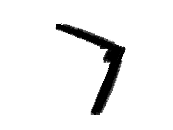 O=BO.O=BO.O=BO.O=BO.O=BO.O=BO.O=BO.[Na+].[Na+].[Na+].[Na+].[Na+].[Na+].[Na+].[Na+].[Na+].[Na+].[Na+].[Na+].[Na+].[Na+].[Na+].[Na+].[Na+].[Na+].[Na+].[Na+].[Na+].[Na+].[Na+].[Na+].[Na+].[Na+].[Na+].[Na+].[Na+].[Na+].[Na+].[Na+].[Na+].[Na+].[Na+].[Na+].[Na+].[Na+].[Na+].[Na+].[Na+].[Na+].[Na+].[Na+].[Na+]